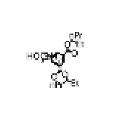 CCCC(CC)OC(=O)c1cc(C(=O)OC(CC)CCC)cc(S(=O)(=O)O)c1.[CaH2]